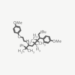 COc1ccc(OCCOC(CC(C)(C)C(C)(C)C(CC(C)(C)C)c2ccc(OC)cc2)C(C)(C)C(C)C)cc1